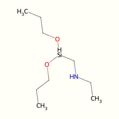 CCCO[SiH](CNCC)OCCC